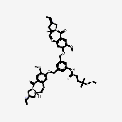 C/C=C1\C[C@H]2C=Nc3cc(OCc4cc(COc5cc6c(cc5OC)C(=O)N5C/C(=C/C)C[C@H]5C=N6)cc(NC(=O)CCC(C)(C)SSC)c4)c(OC)cc3C(=O)N2C1